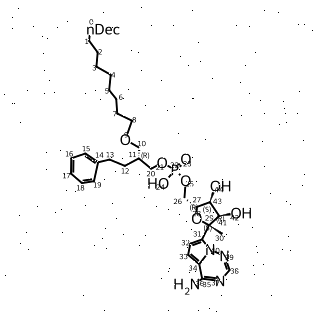 CCCCCCCCCCCCCCCCCCOC[C@@H](CCc1ccccc1)COP(=O)(O)OC[C@H]1O[C@@](C)(c2ccc3c(N)ncnn23)[C@H](O)[C@@H]1O